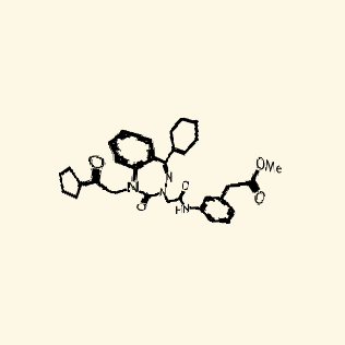 COC(=O)Cc1cccc(NC(=O)CN2N=C(C3CCCCC3)c3ccccc3N(CC(=O)C3CCCC3)C2=O)c1